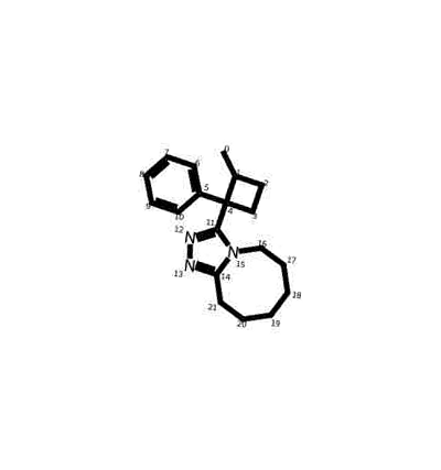 CC1CCC1(c1ccccc1)c1nnc2n1CCCCCC2